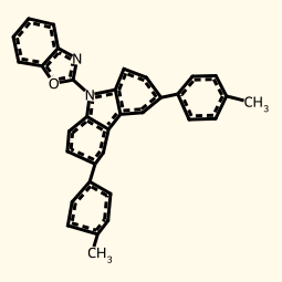 Cc1ccc(-c2ccc3c(c2)c2cc(-c4ccc(C)cc4)ccc2n3-c2nc3ccccc3o2)cc1